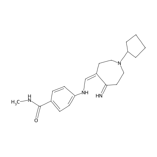 CNC(=O)c1ccc(N/C=C2/CCN(C3CCCC3)CCC2=N)cc1